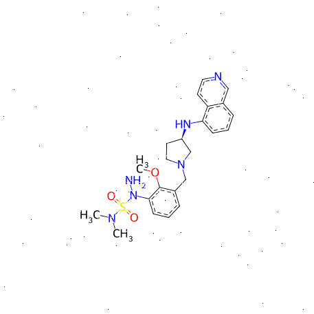 COc1c(CN2CC[C@@H](Nc3cccc4cnccc34)C2)cccc1N(N)S(=O)(=O)N(C)C